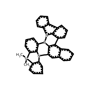 C[Si]1(C)c2ccccc2N2c3cc4ccccc4c4c3B(c3cccc1c32)n1c2ccccc2c2cccc-4c21